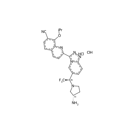 CC(C)Oc1c(C#N)ccc2ccc(-c3nnc4ccc([C@@H](N5CC[C@H](N)C5)C(F)(F)F)cn34)nc12.Cl.Cl